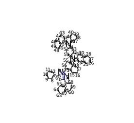 C/C(=N\C(=N/C(C)c1ccccc1)C1=C2C=CCCC2=C(N2C3=Cc4ccccc4CC3C3C=C(n4c5ccccc5c5ccc6ccccc6c54)CCC32)CC1)c1cccc2ccccc12